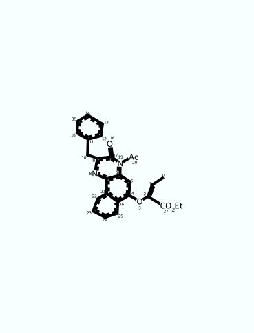 CC=C(Oc1cc2c(nc(Cc3ccccc3)c(=O)n2C(C)=O)c2ccccc12)C(=O)OCC